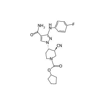 N#C[C@H]1CN(C(=O)OC2CCCC2)CC[C@@H]1n1cc(C(N)=O)c(Nc2ccc(F)cc2)n1